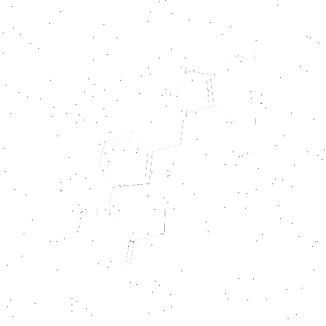 O=C(O)c1nnn(Cc2cc([N+](=O)[O-])cc3[nH]c(=O)c(=O)[nH]c23)c1C(=O)O